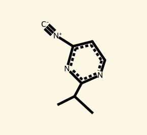 [C-]#[N+]c1ccnc(C(C)C)n1